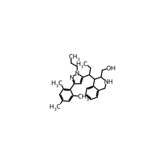 CCCn1nc(-c2c(C)cc(C)cc2C)cc1C(CC)C1c2ccccc2CNC1CO